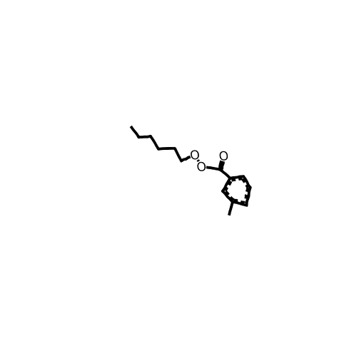 CCCCCCOOC(=O)c1cccc(C)c1